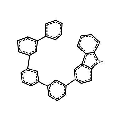 c1ccc(-c2cccc(-c3cccc(-c4cccc(-c5ccc6[nH]c7ccccc7c6c5)c4)c3)c2)cc1